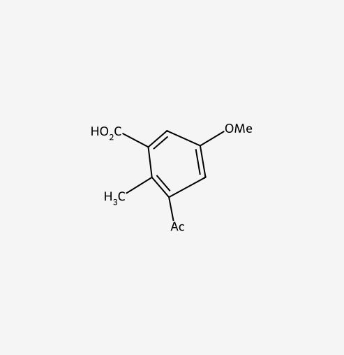 COc1cc(C(C)=O)c(C)c(C(=O)O)c1